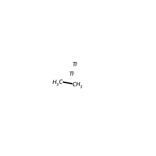 CC.[Tl].[Tl]